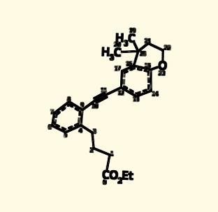 CCOC(=O)CCCc1ccccc1C#Cc1ccc2c(c1)C(C)(C)CCO2